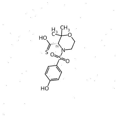 CC1(C)OCCN(S(=O)(=O)c2ccc(O)cc2)[C@@H]1C(O)=S